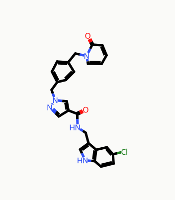 O=C(NCc1c[nH]c2ccc(Cl)cc12)c1cnn(Cc2ccc(Cn3ccccc3=O)cc2)c1